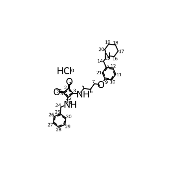 Cl.O=c1c(NCCCOc2cccc(CN3CCCCC3)c2)c(NCc2ccccc2)c1=O